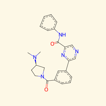 CN(C)[C@@H]1CCN(C(=O)c2cccc(-c3cncc(C(=O)Nc4ccccc4)n3)c2)C1